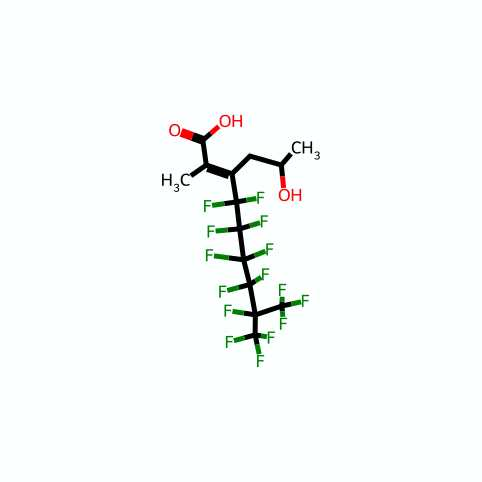 CC(C(=O)O)=C(CC(C)O)C(F)(F)C(F)(F)C(F)(F)C(F)(F)C(F)(C(F)(F)F)C(F)(F)F